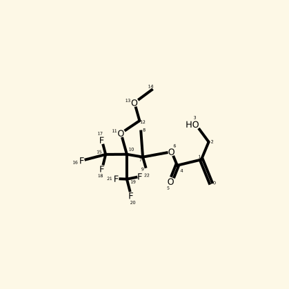 C=C(CO)C(=O)OC(C)(C)C(OCOC)(C(F)(F)F)C(F)(F)F